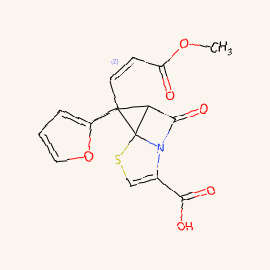 COC(=O)/C=C\C1(c2ccco2)C2C(=O)N3C(C(=O)O)=CSC231